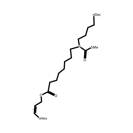 CCCCCC/C=C\COC(=O)CCCCCCCN(CCCCCCCCCCCCCC)C(=O)SC